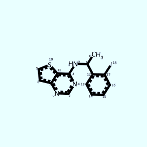 CC(Nc1ncnc2ccsc12)c1ccccc1I